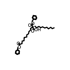 CCCCCCCCCCC[C@@](CCCCCCCCCCC(=O)OCc1ccccc1)(C(=O)O)C(=O)OCc1ccccc1